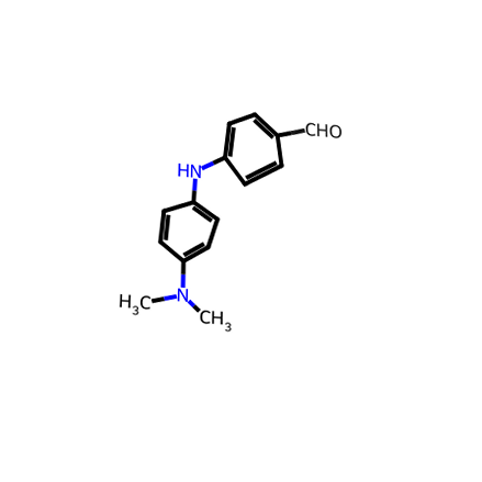 CN(C)c1ccc(Nc2ccc(C=O)cc2)cc1